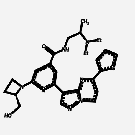 CCN(CC)C(C)CNC(=O)c1cc(-c2cnn3ccc(-c4cccs4)nc23)nc(N2CC[C@@H]2CO)c1